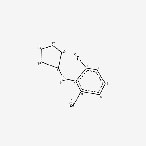 Fc1cccc(Br)c1OC1CCCC1